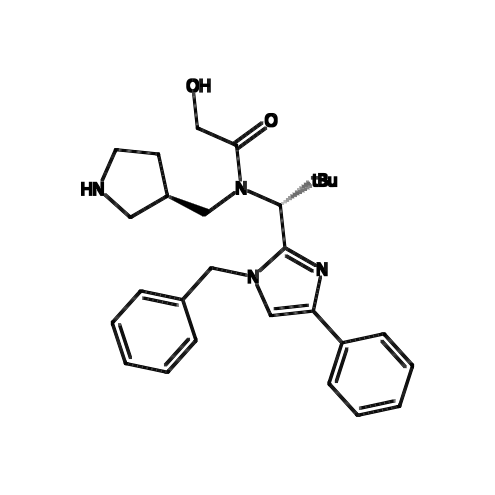 CC(C)(C)[C@H](c1nc(-c2ccccc2)cn1Cc1ccccc1)N(C[C@@H]1CCNC1)C(=O)CO